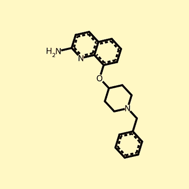 Nc1ccc2cccc(OC3CCN(Cc4ccccc4)CC3)c2n1